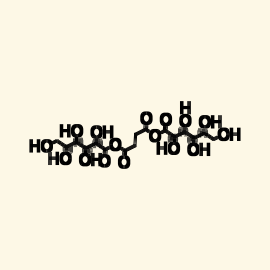 O=C(CCC(=O)OC(=O)[C@H](O)[C@@H](O)[C@H](O)[C@H](O)CO)OC(=O)[C@H](O)[C@@H](O)[C@H](O)[C@H](O)CO